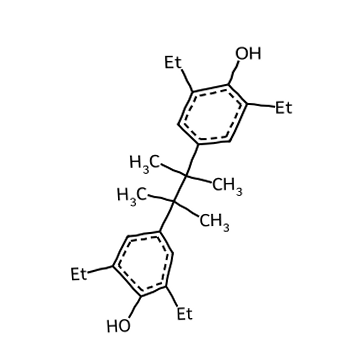 CCc1cc(C(C)(C)C(C)(C)c2cc(CC)c(O)c(CC)c2)cc(CC)c1O